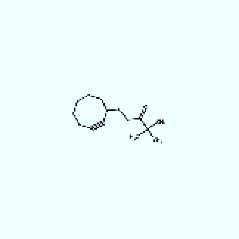 CC(C)(C)C(=O)COC1C#CCCCCC1